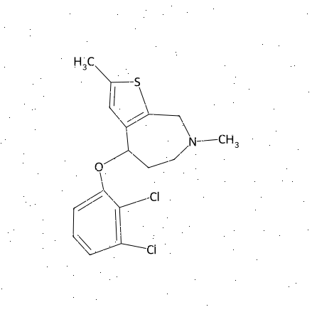 Cc1cc2c(s1)CN(C)CCC2Oc1cccc(Cl)c1Cl